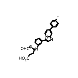 O=COC(CCC(=O)O)=Nc1cccc(-c2cnc3cc(-c4ccc(F)cc4)ccn23)c1